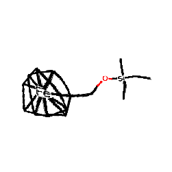 C[Si](C)(C)OC[C]12[CH]3[CH]4[CH]5[CH]1[Fe]45321678[CH]2[CH]1[CH]6[CH]7[CH]28